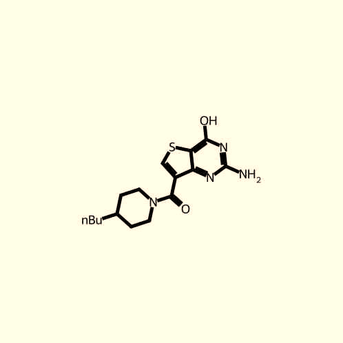 CCCCC1CCN(C(=O)c2csc3c(O)nc(N)nc23)CC1